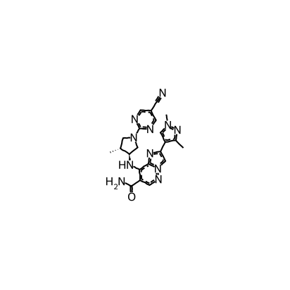 Cc1nn(C)cc1-c1cn2ncc(C(N)=O)c(N[C@@H]3CN(c4ncc(C#N)cn4)C[C@H]3C)c2n1